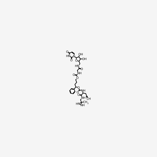 C#CCC(NC(=O)OC(CCCOC(=O)NCC(=O)NCC1OC(n2ccc(=O)[nH]c2=O)C(O)C1O)c1ccccc1)C(=O)NCC1(C)NN1